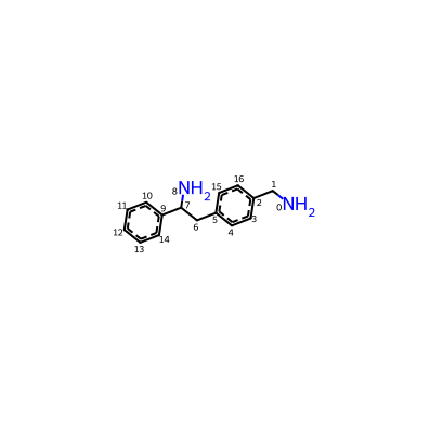 NCc1ccc(CC(N)c2ccccc2)cc1